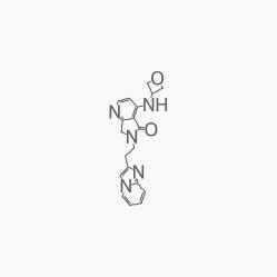 O=C1c2c(NC3COC3)ccnc2CN1CCc1cn2ccccc2n1